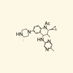 CC(=O)N1c2ccc(N3CCN[C@@H](C)C3)cc2C(Nc2cnc(C)cn2)C(C)[C@@H]1C1CC1